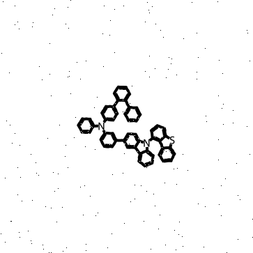 c1ccc(-c2ccccc2-c2ccc(N(c3ccccc3)c3cccc(-c4ccc5c(c4)c4ccccc4n5-c4cccc5sc6ccccc6c45)c3)cc2)cc1